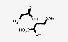 CCC(=O)O.CSCCC(O)C(=O)O